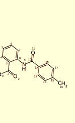 CCC(=O)c1ccccc1NC(=O)c1ccc(C)cc1